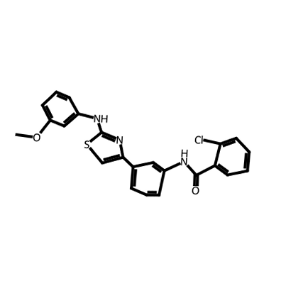 COc1cccc(Nc2nc(-c3cccc(NC(=O)c4ccccc4Cl)c3)cs2)c1